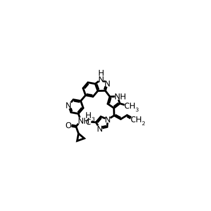 C=C/C=C(\c1cc(-c2n[nH]c3ccc(-c4cncc(NC(=O)C5CC5)c4)cc23)[nH]c1C)n1cnc(C)c1